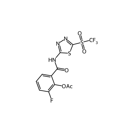 CC(=O)Oc1c(F)cccc1C(=O)Nc1nnc(S(=O)(=O)C(F)(F)F)s1